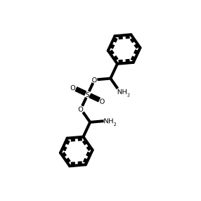 NC(OS(=O)(=O)OC(N)c1ccccc1)c1ccccc1